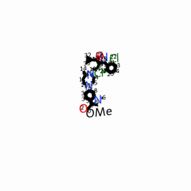 COC(=O)c1cn(C)c2cc(N3CCC(C)N(CCc4c(-c5c(Cl)cccc5Cl)noc4C4CC4)CC3)ccc12